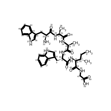 CC[C@H](C)[C@H](NC(=O)[C@H](Cc1c[nH]c2ccccc12)NC(=O)[C@H](C)NC(=O)[C@H](C)NC(=O)[C@@H](N)Cc1c[nH]c2ccccc12)C(=O)NCC(=O)O